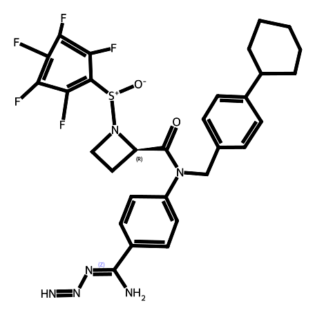 N=N/N=C(\N)c1ccc(N(Cc2ccc(C3CCCCC3)cc2)C(=O)[C@H]2CCN2[S+]([O-])c2c(F)c(F)c(F)c(F)c2F)cc1